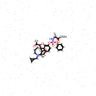 CCC(=O)C1OC2=C(OP(=O)(N[C@@H](C)C(=O)OC)Oc3ccccc3)C=CC3C[C@H]4N(CC5CC5)CCC[C@@]1(C23)C4(C)O